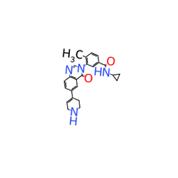 Cc1ccc(C(=O)NC2CC2)cc1-n1cnc2ccc(C3=CCNCC3)cc2c1=O